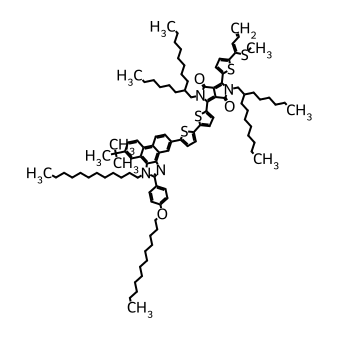 C=C/C=C(\SC)c1ccc(C2=C3C(=O)N(CC(CCCCCC)CCCCCCCC)C(c4ccc(-c5ccc(-c6ccc7c8ccc(C(C)(C)C)cc8c8c(nc(-c9ccc(OCCCCCCCCCCCC)cc9)n8CCCCCCCCCCCC)c7c6)s5)s4)=C3C(=O)N2CC(CCCCCC)CCCCCCCC)s1